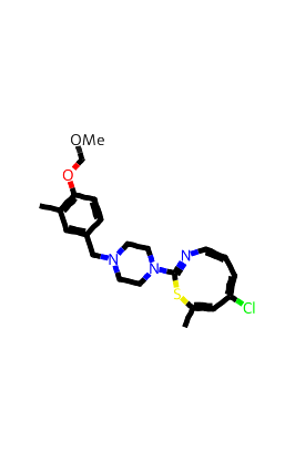 COCOc1ccc(CN2CCN(c3ncccc(Cl)cc(C)s3)CC2)cc1C